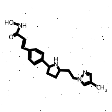 Cc1cnn(CCC2CCC(c3ccc(/C=C/C(=O)NO)cc3)N2)c1